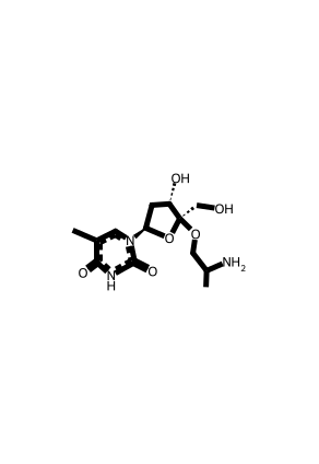 Cc1cn([C@H]2C[C@H](O)[C@@](CO)(OCC(C)N)O2)c(=O)[nH]c1=O